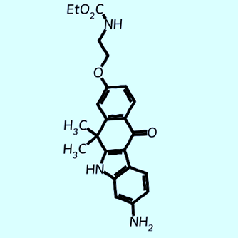 CCOC(=O)NCCOc1ccc2c(c1)C(C)(C)c1[nH]c3cc(N)ccc3c1C2=O